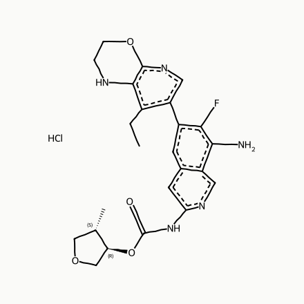 CCc1c(-c2cc3cc(NC(=O)O[C@H]4COC[C@@H]4C)ncc3c(N)c2F)cnc2c1NCCO2.Cl